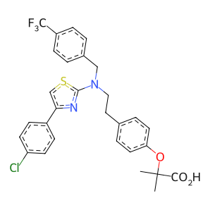 CC(C)(Oc1ccc(CCN(Cc2ccc(C(F)(F)F)cc2)c2nc(-c3ccc(Cl)cc3)cs2)cc1)C(=O)O